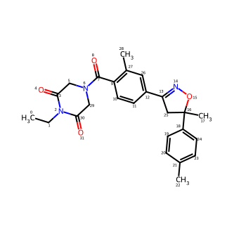 CCN1C(=O)CN(C(=O)c2ccc(C3=NOC(C)(c4ccc(C)cc4)C3)cc2C)CC1=O